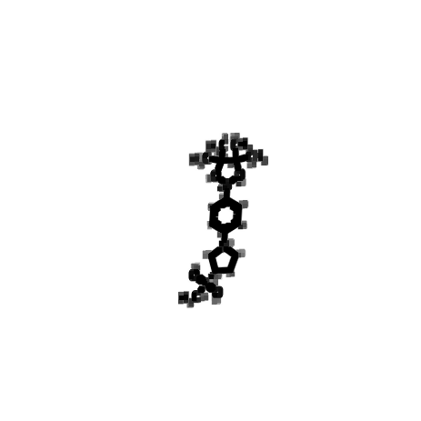 CC1(C)OB(c2ccc(N3CC[C@H](S(C)(=O)=O)C3)cc2)OC1(C)C